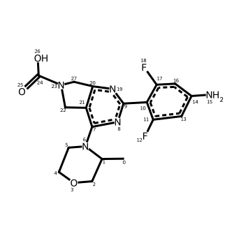 CC1COCCN1c1nc(-c2c(F)cc(N)cc2F)nc2c1CN(C(=O)O)C2